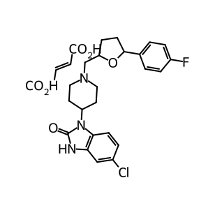 O=C(O)C=CC(=O)O.O=c1[nH]c2cc(Cl)ccc2n1C1CCN(CC2CCC(c3ccc(F)cc3)O2)CC1